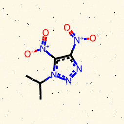 CC(C)n1nnc([N+](=O)[O-])c1[N+](=O)[O-]